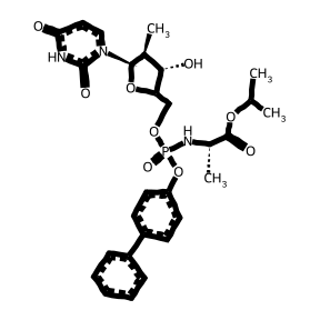 CC(C)OC(=O)[C@H](C)NP(=O)(OCC1O[C@@H](n2ccc(=O)[nH]c2=O)[C@@H](C)[C@@H]1O)Oc1ccc(-c2ccccc2)cc1